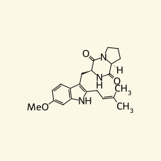 COc1ccc2c(C[C@@H]3NC(=O)[C@@H]4CCCN4C3=O)c(CC=C(C)C)[nH]c2c1